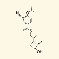 C=C(SC/C(C)=C1\CCC(O)\C1=C\C)c1ccc(OC(C)C)c(C#N)c1